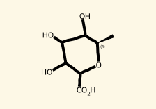 C[C@H]1OC(C(=O)O)C(O)C(O)C1O